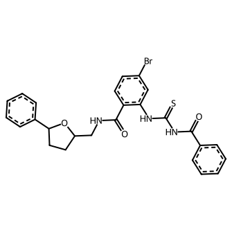 O=C(NC(=S)Nc1cc(Br)ccc1C(=O)NCC1CCC(c2ccccc2)O1)c1ccccc1